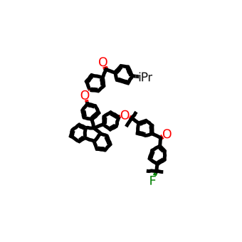 CC(C)c1ccc(C(=O)c2ccc(Oc3ccc(C4(c5ccc(OC(C)(C)c6ccc(C(=O)c7ccc(C(C)(C)F)cc7)cc6)cc5)c5ccccc5C5C=CC=CC54)cc3)cc2)cc1